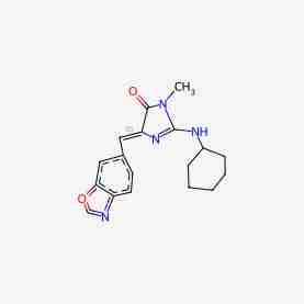 CN1C(=O)/C(=C/c2ccc3ncoc3c2)N=C1NC1CCCCC1